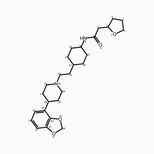 O=C(CC1CCCO1)NC1CCC(CCN2CCC(c3cccc4c3OCO4)CC2)CC1